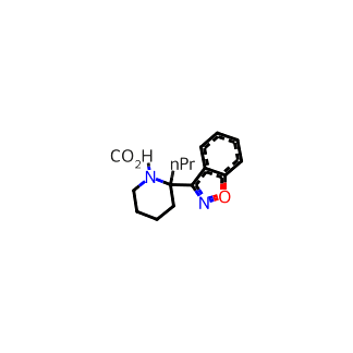 CCCC1(c2noc3ccccc23)CCCCN1C(=O)O